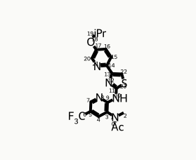 CC(=O)N(C)c1cc(C(F)(F)F)cnc1Nc1nc(-c2ccc(OC(C)C)cn2)cs1